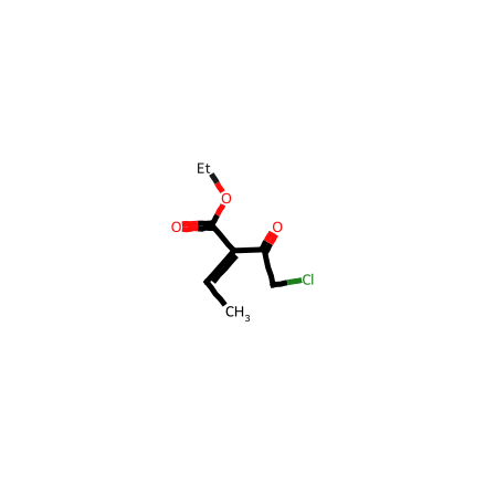 CC=C(C(=O)CCl)C(=O)OCC